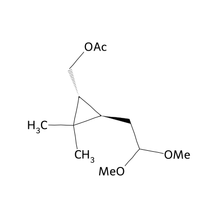 COC(C[C@@H]1[C@@H](COC(C)=O)C1(C)C)OC